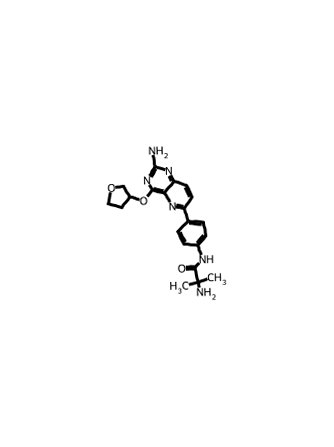 CC(C)(N)C(=O)Nc1ccc(-c2ccc3nc(N)nc(OC4CCOC4)c3n2)cc1